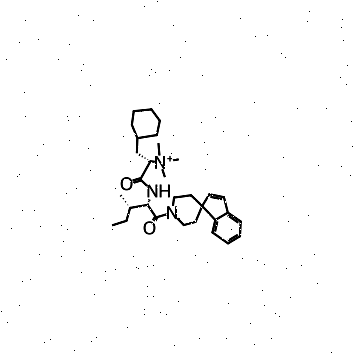 CC[C@H](C)[C@H](NC(=O)[C@H](CC1CCCCC1)[N+](C)(C)C)C(=O)N1CCC2(C=Cc3ccccc32)CC1